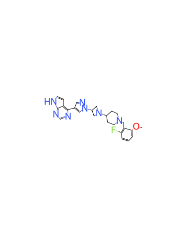 COc1cccc(F)c1CN1CCC(N2CC(n3cc(-c4ncnc5[nH]ccc45)cn3)C2)CC1